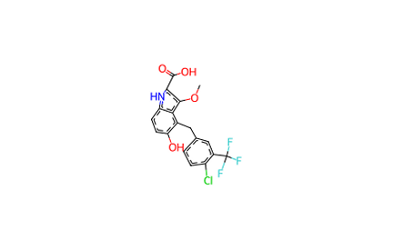 COc1c(C(=O)O)[nH]c2ccc(O)c(Cc3ccc(Cl)c(C(F)(F)F)c3)c12